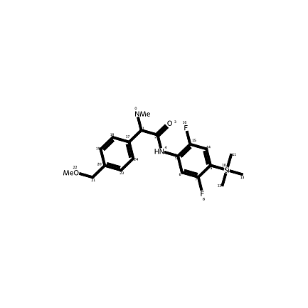 CNC(C(=O)Nc1cc(F)c([Si](C)(C)C)cc1F)c1ccc(COC)cc1